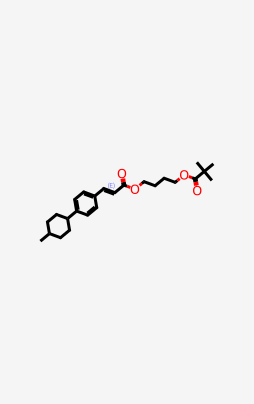 CC1CCC(c2ccc(/C=C/C(=O)OCCCCOC(=O)C(C)(C)C)cc2)CC1